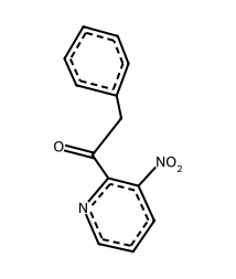 O=C(Cc1ccccc1)c1ncccc1[N+](=O)[O-]